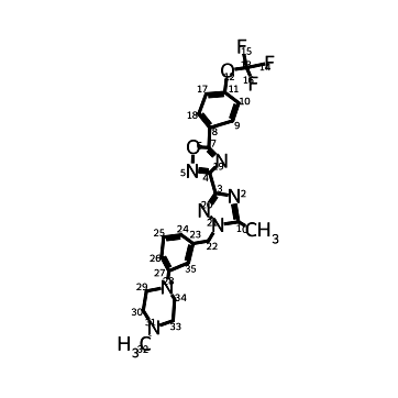 Cc1nc(-c2noc(-c3ccc(OC(F)(F)F)cc3)n2)nn1Cc1cccc(N2CCN(C)CC2)c1